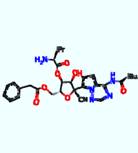 CC[C@H](C)C(=O)Nc1ncnn2c([C@]3(C#N)O[C@H](COC(=O)Cc4ccccc4)[C@@H](OC(=O)[C@@H](N)C(C)C)[C@H]3O)ccc12